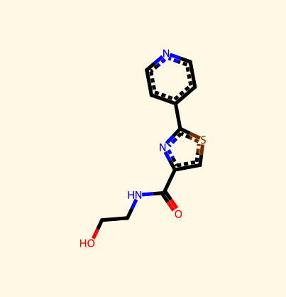 O=C(NCCO)c1csc(-c2ccncc2)n1